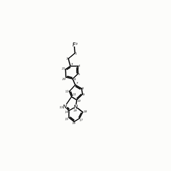 FCCc1ccc(-c2ccc3c(c2)nc2ccccn23)cc1